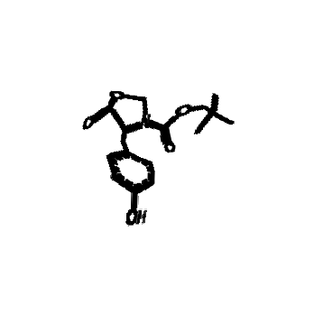 CC(C)(C)OC(=O)N1COC(=O)C1c1ccc(O)cc1